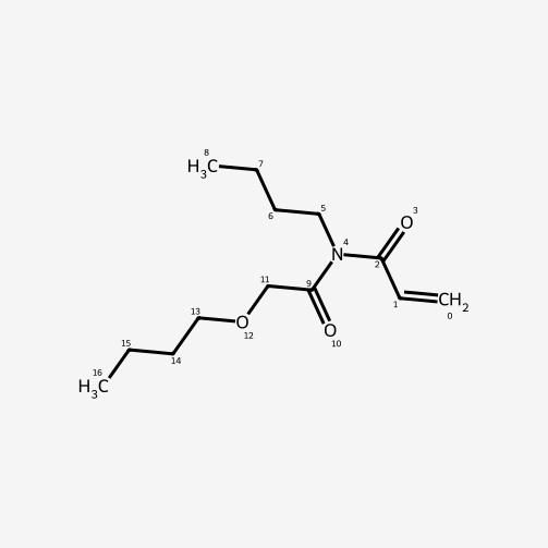 C=CC(=O)N(CCCC)C(=O)COCCCC